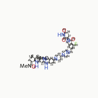 CNC(=O)c1ccccc1Nc1cc(Nc2ccc(N3CCC(N4CCN(Cc5cc(F)c6c(c5)CN(C5CCC(=O)NC5=O)C6=O)CC4)CC3)cc2OC)ncc1C(F)(F)F